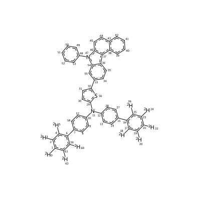 [2H]c1c([2H])c([2H])c(-c2ccc(N(c3ccc(-c4c([2H])c([2H])c([2H])c([2H])c4[2H])cc3)c3ccc(-c4ccc5c6c7ccccc7ccc6n(-c6ccccc6)c5c4)s3)cc2)c([2H])c1[2H]